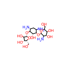 NC1[C@@H](O[C@@H]2C(N)C[C@@H](N)C(O[C@@H]3O[C@H](CO)[C@H](O)C3O)[C@H]2O)OC(CO)[C@@H](O)[C@@H]1O